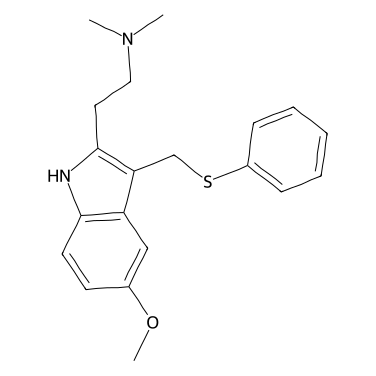 COc1ccc2[nH]c(CCN(C)C)c(CSc3ccccc3)c2c1